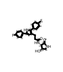 O=C(CCc1cc(-c2ccc(F)cc2)[nH]c1-c1ccc(F)cc1)N[C@@H]1C(=O)NC[C@H]1O